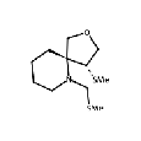 CSCN1CCCC[C@]12COC[C@@H]2SC